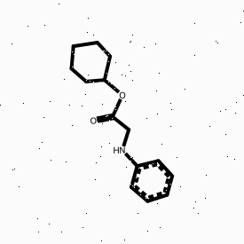 O=C(CNc1ccccc1)OC1CCCCC1